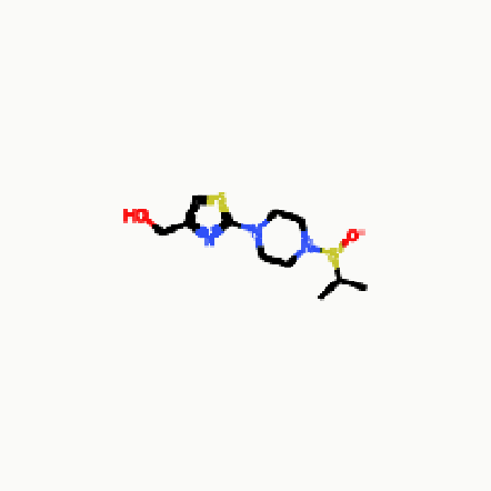 CC(C)[S+]([O-])N1CCN(c2nc(CO)cs2)CC1